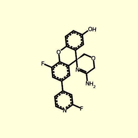 NC1=N[C@@]2(COC1)c1cc(O)ccc1Oc1c(F)cc(-c3ccnc(F)c3)cc12